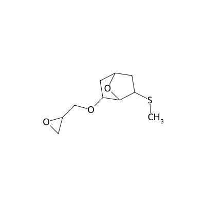 CSC1CC2CC(OCC3CO3)C1O2